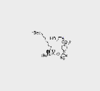 CCCCCCCCCCCCCCCCCC(=O)O[C@@H](CNC(C)(C)C)COc1nsnc1N1CCOCC1.O=C(O)/C=C\C(=O)O